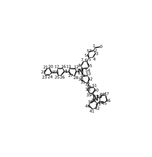 C=Cc1ccc(-c2ccc(N(c3ccc(-c4ccc(-c5ccccc5)cc4)cc3)c3ccc(-c4ccc(-n5c6ccccc6c6ccccc65)cc4)cc3)cc2)cc1